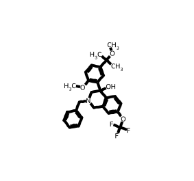 COc1ccc(C(C)(C)OC)cc1C1(O)CN(Cc2ccccc2)Cc2cc(OC(F)(F)F)ccc21